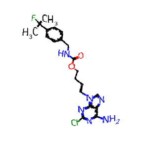 CC(C)(F)c1ccc(CNC(=O)OCCCCn2cnc3c(N)nc(Cl)nc32)cc1